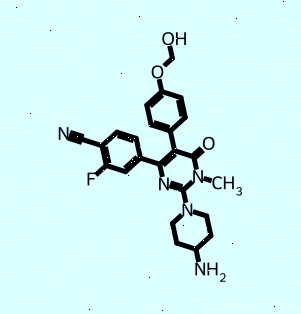 Cn1c(N2CCC(N)CC2)nc(-c2ccc(C#N)c(F)c2)c(-c2ccc(OCO)cc2)c1=O